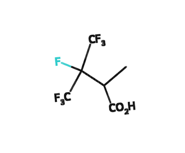 CC(C(=O)O)C(F)(C(F)(F)F)C(F)(F)F